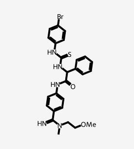 COCCN(C)C(=N)c1ccc(NC(=O)C(NC(=S)Nc2ccc(Br)cc2)c2ccccc2)cc1